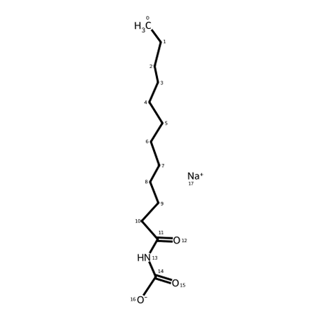 CCCCCCCCCCCC(=O)NC(=O)[O-].[Na+]